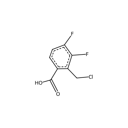 O=C(O)c1ccc(F)c(F)c1CCl